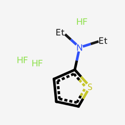 CCN(CC)c1cccs1.F.F.F